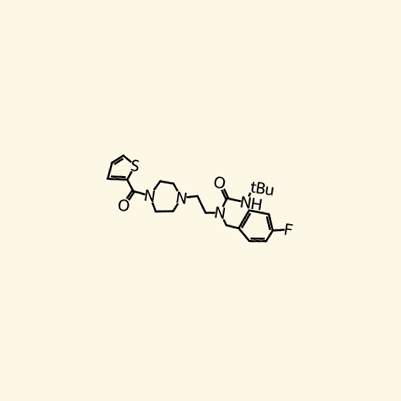 CC(C)(C)NC(=O)N(CCN1CCN(C(=O)c2cccs2)CC1)Cc1ccc(F)cc1